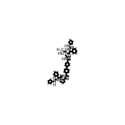 C[C@@H](O)CN(Cc1ncc(-c2ccc(-c3ccc(-c4cnc([C@@H]5CCCN5C(=O)[C@H](NC(=O)NC5CCCC5)c5ccccc5)[nH]4)cc3)cc2)[nH]1)C(=O)[C@H](NC(=O)NC1CCCC1)c1ccccc1